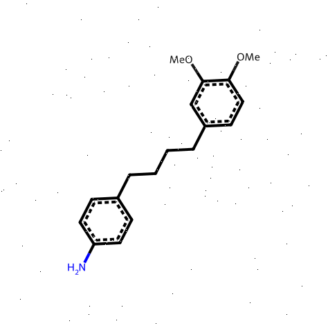 COc1ccc(CCCCc2ccc(N)cc2)cc1OC